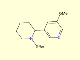 CNN1CCCCC1c1cncc(OC)c1